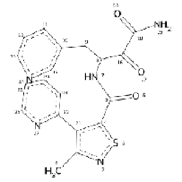 Cc1nsc(C(=O)NC(Cc2cccnc2)C(=O)C(N)=O)c1-c1ccccn1